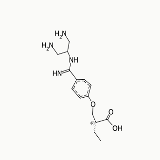 CC[C@H](COc1ccc(C(=N)NC(CN)CN)cc1)C(=O)O